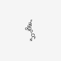 N#Cc1cc(COc2cc3n(c(=O)n2)CC24CC(F)(CN32)C4)ccc1F